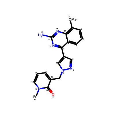 COc1cccc2c(-c3cnn(Cc4cccn(C(C)C)c4=O)c3)nc(N)nc12